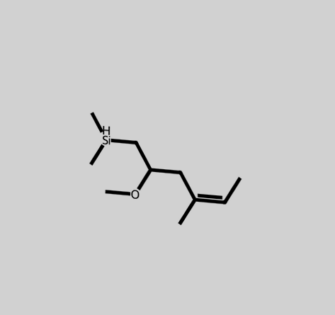 CC=C(C)CC(C[SiH](C)C)OC